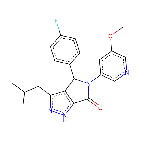 COc1cncc(N2C(=O)c3[nH]nc(CC(C)C)c3C2c2ccc(F)cc2)c1